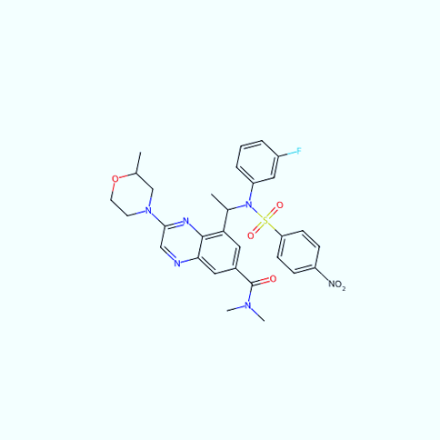 CC1CN(c2cnc3cc(C(=O)N(C)C)cc(C(C)N(c4cccc(F)c4)S(=O)(=O)c4ccc([N+](=O)[O-])cc4)c3n2)CCO1